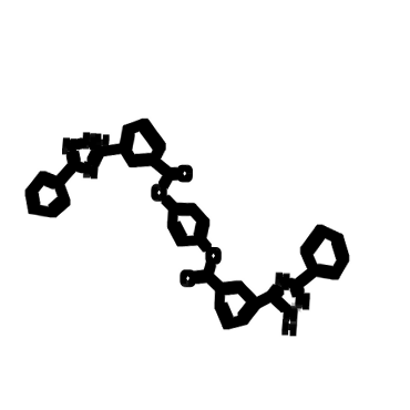 O=C(Oc1ccc(OC(=O)c2cccc(-c3nc(-c4ccccc4)n[nH]3)c2)cc1)c1cccc(-c2nc(-c3ccccc3)n[nH]2)c1